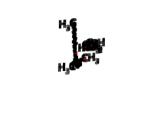 CCCCCCCCCCCCCCCCCC1N(C)CCN1CCC.CN.CN.O=S(=O)(O)O